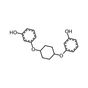 Oc1cccc(OC2CCC(Oc3cccc(O)c3)CC2)c1